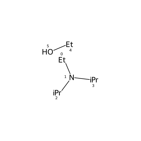 CCN(C(C)C)C(C)C.CCO